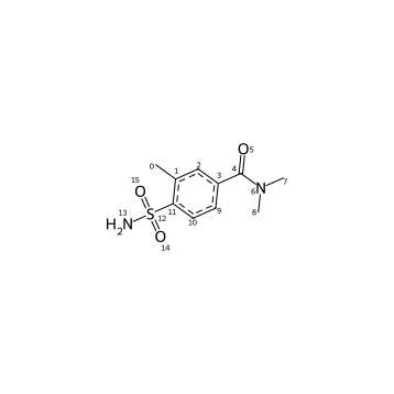 Cc1cc(C(=O)N(C)C)ccc1S(N)(=O)=O